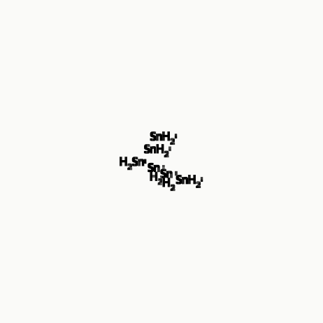 [SnH2].[SnH2].[SnH2].[SnH2].[SnH2].[SnH2]